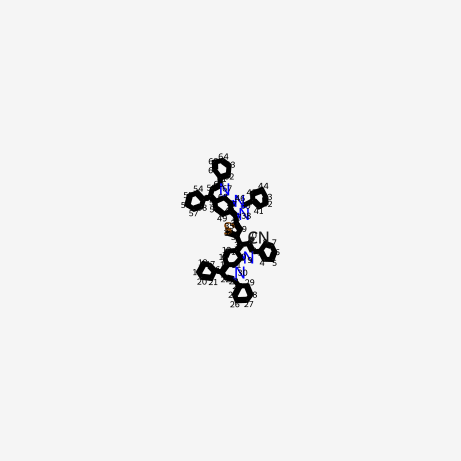 N#Cc1c(-c2ccccc2)nc2c(ccc3c(-c4ccccc4)cc(-c4ccccc4)nc32)c1-c1csc(-c2nc(-c3ccccc3)nc3c2ccc2c(-c4ccccc4)cc(-c4ccccc4)nc23)c1